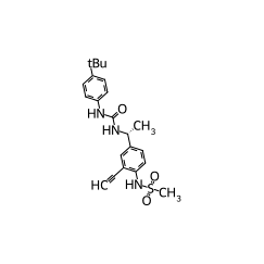 C#Cc1cc([C@@H](C)NC(=O)Nc2ccc(C(C)(C)C)cc2)ccc1NS(C)(=O)=O